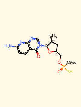 COP(=O)(S)OC[C@@H]1C[C@H](C)[C@H](n2cnc3nc(N)ccc3c2=O)O1